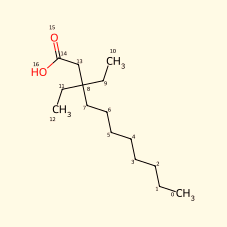 CCCCCCCCC(CC)(CC)CC(=O)O